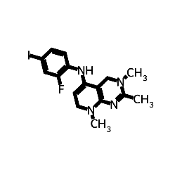 CC1=NC2=C(CN1C)C(Nc1ccc(I)cc1F)=CCN2C